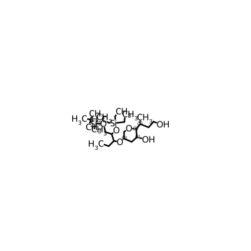 CCC(O[C@H]1CO[C@@H]([C@@H](C)CCO)[C@@H](O)C1)C(CO[Si](C)(C)C(C)(C)C)O[Si](CC)(CC)CC